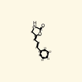 O=C1NCC(=CC=Cc2ccccc2)O1